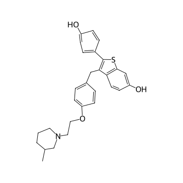 CC1CCCN(CCOc2ccc(Cc3c(-c4ccc(O)cc4)sc4cc(O)ccc34)cc2)C1